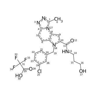 Cc1nnc2ccc3c(cc(C(=O)NCCCO)n3Cc3cccc(Cl)c3)n12.O=C(O)C(F)(F)F